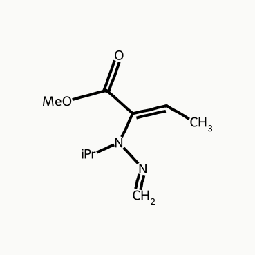 C=NN(/C(=C\C)C(=O)OC)C(C)C